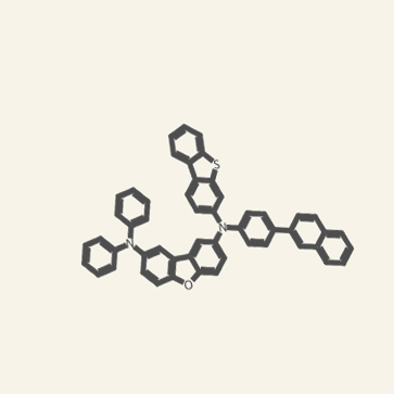 c1ccc(N(c2ccccc2)c2ccc3oc4ccc(N(c5ccc(-c6ccc7ccccc7c6)cc5)c5ccc6c(c5)sc5ccccc56)cc4c3c2)cc1